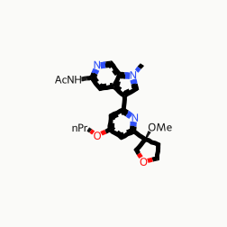 CCCOc1cc(-c2cn(C)c3cnc(NC(C)=O)cc23)nc([C@]2(OC)CCOC2)c1